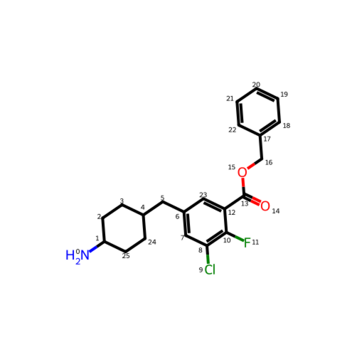 NC1CCC(Cc2cc(Cl)c(F)c(C(=O)OCc3ccccc3)c2)CC1